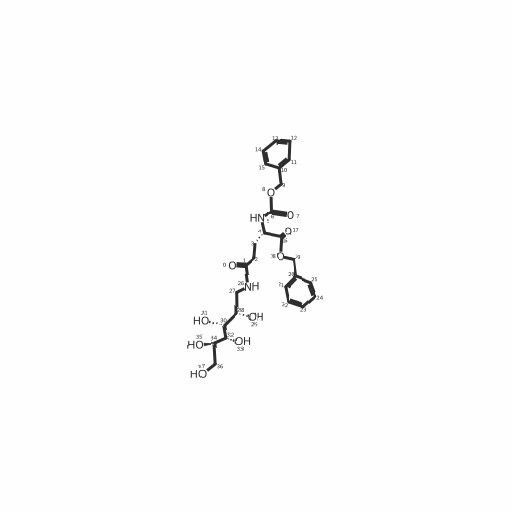 O=C(CC[C@H](NC(=O)OCc1ccccc1)C(=O)OCc1ccccc1)NC[C@H](O)[C@@H](O)[C@H](O)[C@H](O)CO